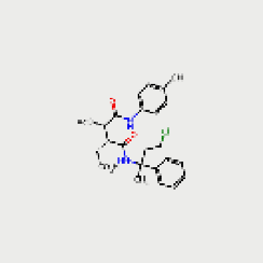 CC(=O)O[C@@H](C(=O)Nc1ccc(C#N)cc1)[C@@H](CC(=O)O)C(=O)NC(C)(CCCl)c1ccccc1